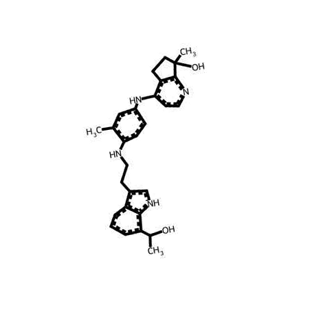 Cc1cc(Nc2ccnc3c2CCC3(C)O)ccc1NCCc1c[nH]c2c(C(C)O)cccc12